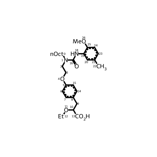 CCCCCCCCN(CCOc1ccc(CC(OCC)C(=O)O)cc1)C(=O)Nc1cc(C)ccc1OC